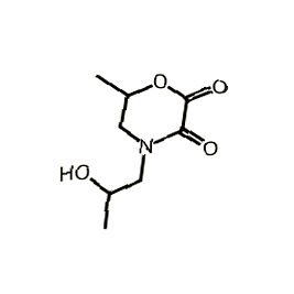 CC(O)CN1CC(C)OC(=O)C1=O